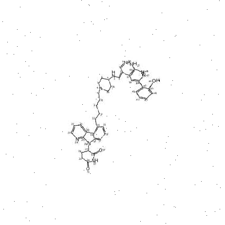 N=C/C(=C\NC1CCN(CCCCCc2cccc3c2c2cccnc2n3C2CCC(=O)NC2=O)CC1)c1cc(-c2ccccc2O)nnc1N